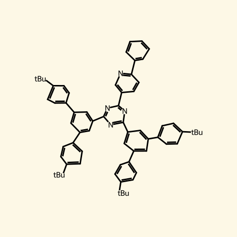 CC(C)(C)c1ccc(-c2cc(-c3ccc(C(C)(C)C)cc3)cc(-c3nc(-c4ccc(-c5ccccc5)nc4)nc(-c4cc(-c5ccc(C(C)(C)C)cc5)cc(-c5ccc(C(C)(C)C)cc5)c4)n3)c2)cc1